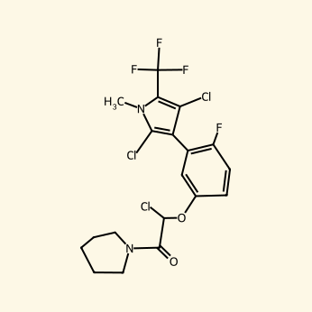 Cn1c(Cl)c(-c2cc(OC(Cl)C(=O)N3CCCCC3)ccc2F)c(Cl)c1C(F)(F)F